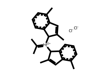 CC1=Cc2c(C)cccc2[CH]1[Hf+2](=[C](C)C)[CH]1C(C)=Cc2c(C)cccc21.[Cl-].[Cl-]